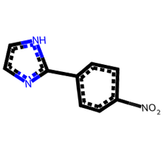 O=[N+]([O-])c1ccc(-c2ncc[nH]2)cc1